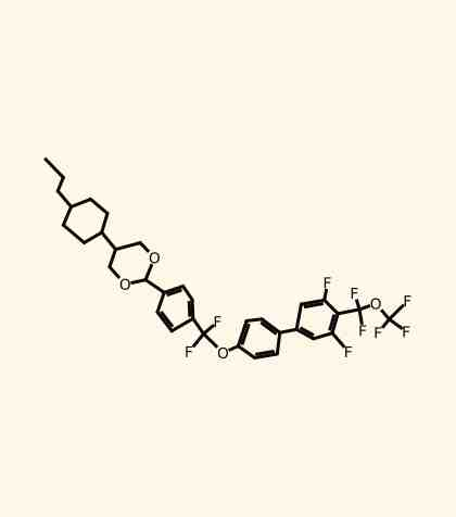 CCCC1CCC(C2COC(c3ccc(C(F)(F)Oc4ccc(-c5cc(F)c(C(F)(F)OC(F)(F)F)c(F)c5)cc4)cc3)OC2)CC1